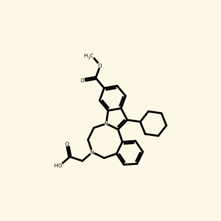 COC(=O)c1ccc2c(C3CCCCC3)c3n(c2c1)CCN(CC(=O)O)Cc1ccccc1-3